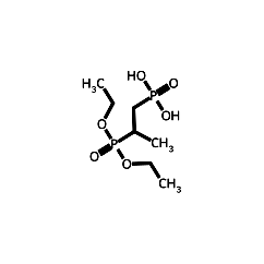 CCOP(=O)(OCC)C(C)CP(=O)(O)O